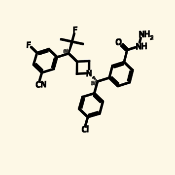 CC(C)(F)[C@H](c1cc(F)cc(C#N)c1)C1CN([C@@H](c2ccc(Cl)cc2)c2cccc(C(=O)NN)c2)C1